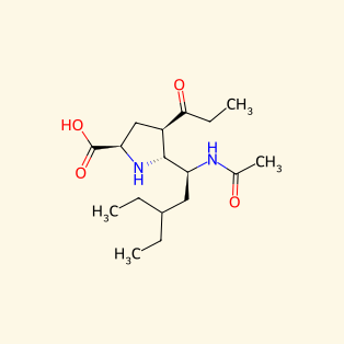 CCC(=O)[C@@H]1C[C@H](C(=O)O)N[C@H]1[C@H](CC(CC)CC)NC(C)=O